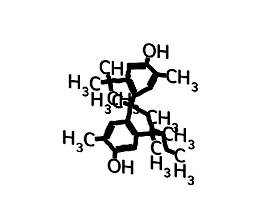 CCCCCC(C)(c1cc(C)c(O)cc1C(C)(C)C)c1cc(C)c(O)cc1C(C)(C)C